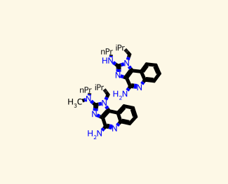 CCCN(C)c1nc2c(N)nc3ccccc3c2n1CC(C)C.CCCNc1nc2c(N)nc3ccccc3c2n1CC(C)C